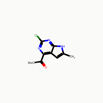 COC(=O)c1nc(Cl)nc2[nH]c(C)cc12